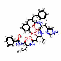 CC(C)C[C@H](NC(=O)C[C@H](O)[C@H](CC(C)C)NC(=O)[C@H](Cc1c[nH]cn1)NC(=O)C(Cc1ccccc1)Cc1ccccc1)C(=O)NC(=O)c1ccccc1